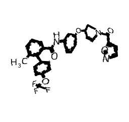 Cc1cccc(C(=O)Nc2cccc(OC3CCN(C(=O)c4ccno4)CC3)c2)c1-c1ccc(OC(F)(F)F)cc1